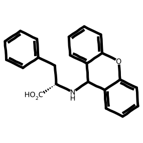 O=C(O)[C@H](Cc1ccccc1)NC1c2ccccc2Oc2ccccc21